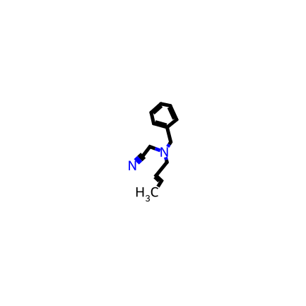 CC=CCN(CC#N)Cc1ccccc1